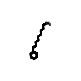 C=CCCCCCCC=Cc1ccccc1